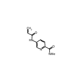 C=CC(=O)Nc1ccc(C(=O)NC)nc1